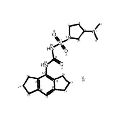 CN(C)C1CCN(S(=O)(=O)NC(=O)Nc2c3c(cc4c2CCC4)CCC3)C1.[K]